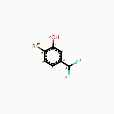 Oc1cc(C(F)F)ccc1Br